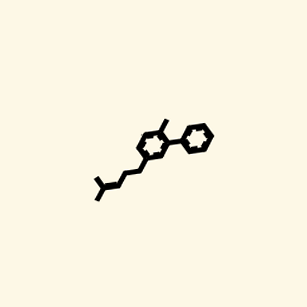 CC(C)=CCCc1c[c]c(C)c(-c2ccccc2)c1